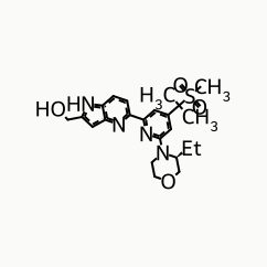 CC[C@H]1COCCN1c1cc(C(C)(C)S(C)(=O)=O)cc(-c2ccc3[nH]c(CO)cc3n2)n1